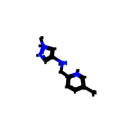 CCc1ccc(CNc2cnn(C)c2)nc1